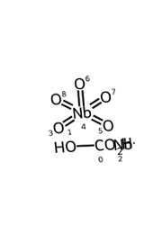 O=C(O)O.[Nb].[O]=[Nb](=[O])(=[O])(=[O])=[O]